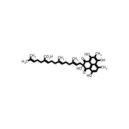 CC(C)=CCC/C(=C/CC/C(C)=C/CC/C(C)=C/C[C@]1(O)C(=O)c2c(O)cc(C)c3c(O)c(C)c(O)c(c23)C1=O)C(=O)O